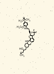 COCC(O)CN1CCC(Nc2cccc3c(CC(F)(F)F)c(C#CCNc4ccc(P(C)(C)=O)cc4OC)sc23)C(F)C1